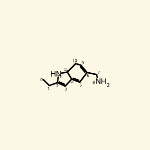 CCC1=CC2=CC(CN)=CCC2N1